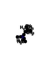 CC(C)(C)c1cc(-c2ccccc2)c2c(c1)-c1ccc(-c3ccc(N(c4ccc(-c5ccccc5)cc4)c4ccc5c(c4)C(C)(C)c4ccccc4-5)cc3)cc1C2(C)C